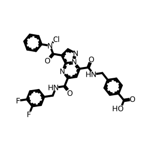 O=C(O)c1ccc(CNC(=O)c2cc(C(=O)NCc3ccc(F)c(F)c3)nc3c(C(=O)N(Cl)c4ccccc4)cnn23)cc1